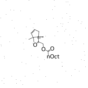 CCCCCCCCC(=O)OCC(=O)[C@@]1(C)CC=CC1(C)C